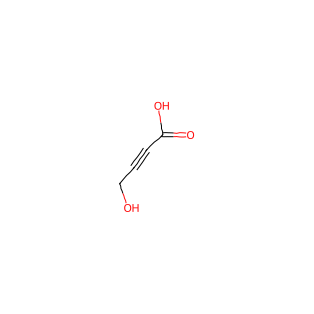 O=C(O)C#CCO